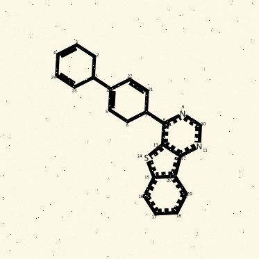 C1=CCC(C2=CCC(c3ncnc4c3sc3ccccc34)C=C2)C=C1